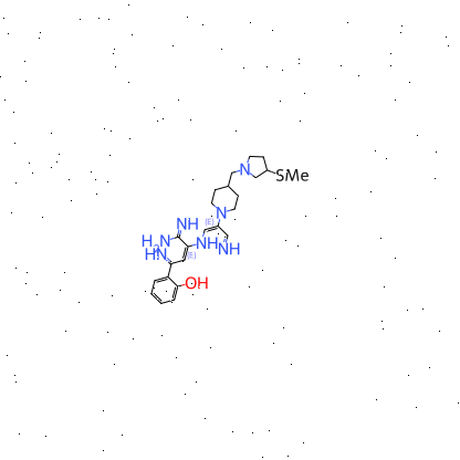 CSC1CCN(CC2CCN(/C(C=N)=C/N/C(=C/C(=N)c3ccccc3O)C(=N)N)CC2)C1